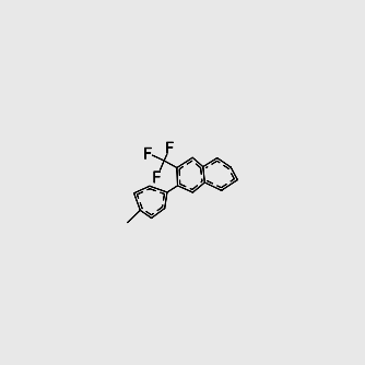 Cc1ccc(-c2cc3ccccc3cc2C(F)(F)F)cc1